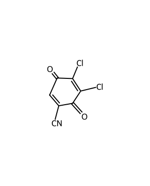 N#CC1=CC(=O)C(Cl)=C(Cl)C1=O